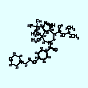 CC(C)OC(=O)C1=CN(C(=O)c2ccc(OCCN3CCOCC3)cc2)CC(C)(C)c2c(C(F)(F)F)n[nH]c21